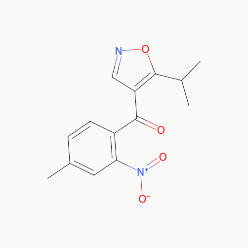 Cc1ccc(C(=O)c2cnoc2C(C)C)c([N+](=O)[O-])c1